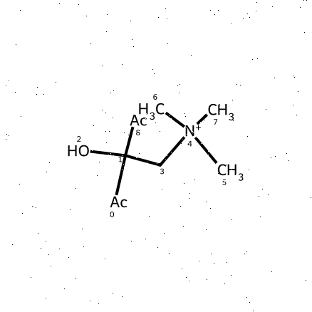 CC(=O)C(O)(C[N+](C)(C)C)C(C)=O